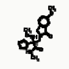 CNC(=O)[C@@](CN1Cc2ccc(OC)cc2C1=O)(NOC)c1ccsc1